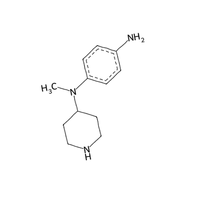 CN(c1ccc(N)cc1)C1CCNCC1